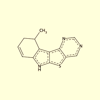 CC1CC=Cc2[nH]c3sc4cncnc4c3c21